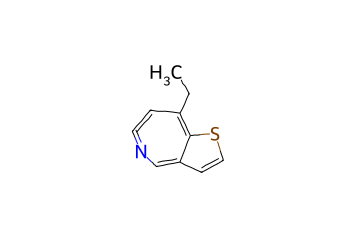 CCC1=c2sccc2=CN=C=C1